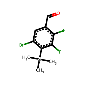 C[Si](C)(C)c1c(Br)cc(C=O)c(F)c1F